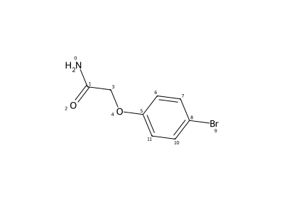 NC(=O)COc1ccc(Br)cc1